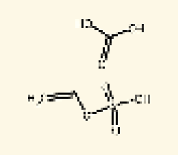 C=COS(=O)(=O)O.O=C(O)O